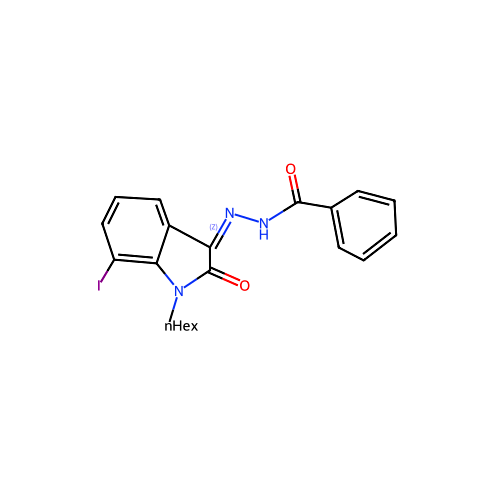 CCCCCCN1C(=O)/C(=N\NC(=O)c2ccccc2)c2cccc(I)c21